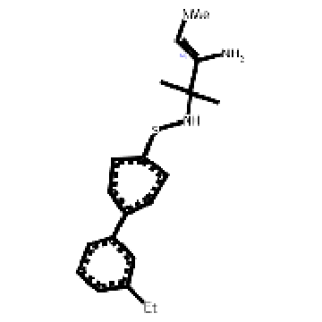 CCc1cccc(-c2ccc(SNC(C)(C)/C(N)=C/NC)cc2)c1